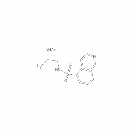 CC(=O)NC(C)CNS(=O)(=O)c1cccc2cnccc12